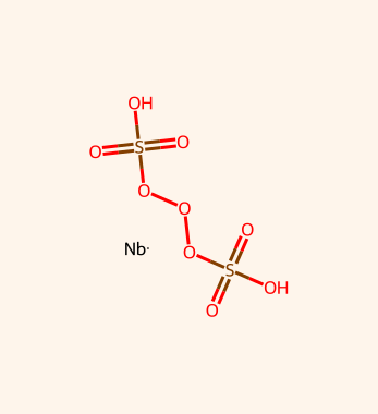 O=S(=O)(O)OOOS(=O)(=O)O.[Nb]